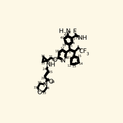 N=C(F)c1cc(/C(=C(\CC(F)(F)F)c2ccccc2)c2ccc(OCC3(NC/C=C/C(=O)N4CCOCC4)CC3)nc2)ccc1N